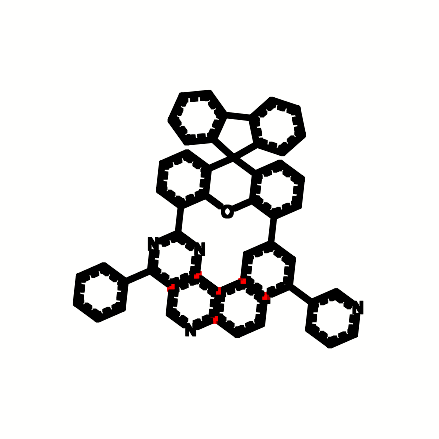 c1ccc(-c2cc(-c3ccccc3)nc(-c3cccc4c3Oc3c(-c5cc(-c6cccnc6)nc(-c6cccnc6)c5)cccc3C43c4ccccc4-c4ccccc43)n2)cc1